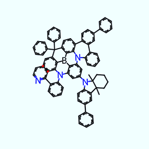 CC12CCCCC1(C)N(c1cc3c4c(c1)N1c5ccccc5-c5cc(-c6ccccc6)ccc5-c5ccc6c(c51)B4c1c(cccc1C6(c1ccccc1)c1ccccc1)N3c1ccccc1-c1ccccn1)c1ccc(-c3ccccc3)cc12